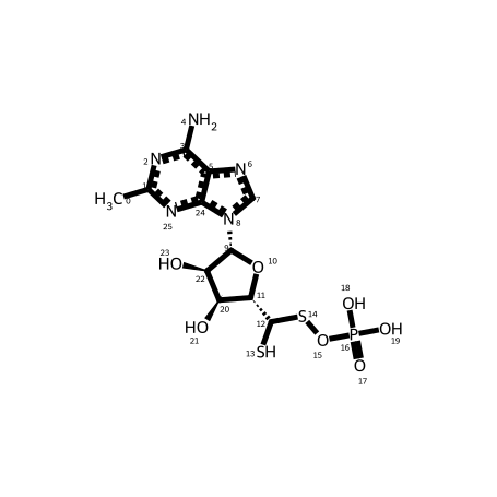 Cc1nc(N)c2ncn([C@@H]3O[C@H](C(S)SOP(=O)(O)O)[C@@H](O)[C@H]3O)c2n1